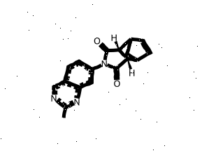 Cc1ncc2ccc(N3C(=O)[C@@H]4C5C=CC(C5)[C@@H]4C3=O)cc2n1